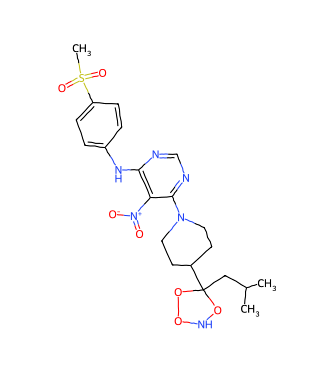 CC(C)CC1(C2CCN(c3ncnc(Nc4ccc(S(C)(=O)=O)cc4)c3[N+](=O)[O-])CC2)ONOO1